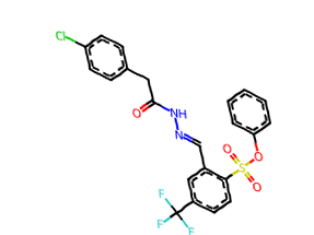 O=C(Cc1ccc(Cl)cc1)NN=Cc1cc(C(F)(F)F)ccc1S(=O)(=O)Oc1ccccc1